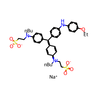 CCCCN(CCS(=O)(=O)[O-])c1ccc(C(=C2C=CC(=[N+](CCCC)CCS(=O)(=O)[O-])C=C2)c2ccc(Nc3ccc(OCC)cc3)cc2)cc1.[Na+]